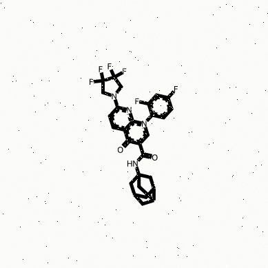 O=C(NC12CC3CC(C1)C(C3)C2)c1cn(-c2ccc(F)cc2F)c2nc(N3CC(F)(F)C(F)(F)C3)ccc2c1=O